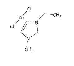 CCN1C=CN(C)C1.[Cl][Zn][Cl]